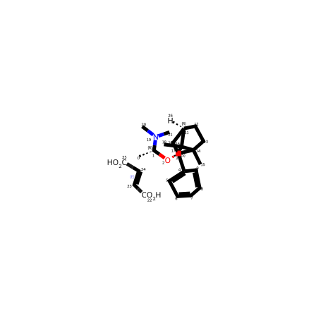 C[C@@H](O[C@]1(c2ccccc2)C[C@H]2CCC1(C)C2(C)C)N(C)C.O=C(O)/C=C/C(=O)O